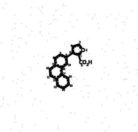 O=C(O)c1occc1-c1ccc2ccc3ccccc3c2c1